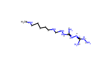 CNCCCCCNCNN/C(N)=N/N=C(\N)NN